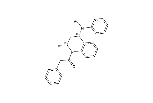 CC(=O)N(c1ccccc1)[C@H]1C[C@@H](C)N(C(=O)Cc2ccccc2)c2ccccc21